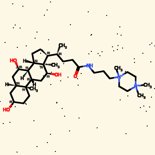 C[C@H](CCC(=O)NCCC[N+]1(C)CC[N+](C)(C)CC1)[C@H]1CC[C@H]2[C@@H]3[C@H](O)C[C@@H]4C[C@H](O)CC[C@]4(C)[C@H]3C[C@H](O)[C@]12C